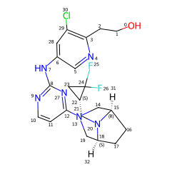 OCCc1ncc(Nc2nccc(N3C[C@H]4CC[C@@H](C3)N4C[C@@H]3CC3(F)F)n2)cc1Cl